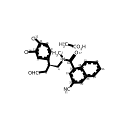 CC(=O)O.CN(C[C@@H](CC=O)c1ccc(Cl)c(Cl)c1)C(=O)c1cc(C#N)cc2ccccc12